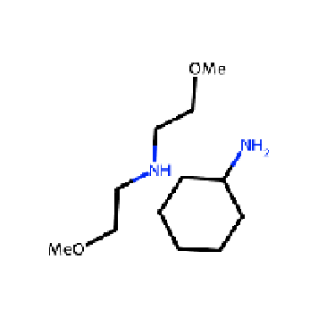 COCCNCCOC.NC1CCCCC1